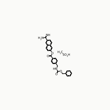 CS(=O)(=O)O.N=C(N)c1ccc2cc(OC(=O)c3ccc(CNC(=O)OCc4ccccc4)cc3)ccc2c1